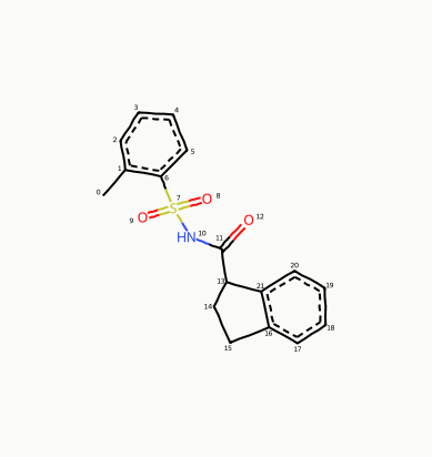 Cc1ccccc1S(=O)(=O)NC(=O)C1CCc2ccccc21